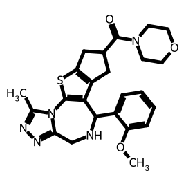 COc1ccccc1C1NCc2nnc(C)n2-c2sc3c(c21)CC(C(=O)N1CCOCC1)C3